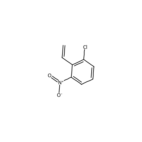 C=Cc1c(Cl)cccc1[N+](=O)[O-]